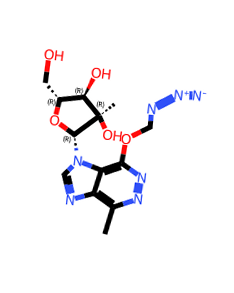 Cc1nnc(OCN=[N+]=[N-])c2c1ncn2[C@@H]1O[C@H](CO)[C@@H](O)[C@@]1(C)O